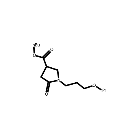 CCCCOC(=O)C1CC(=O)N(CCCOC(C)C)C1